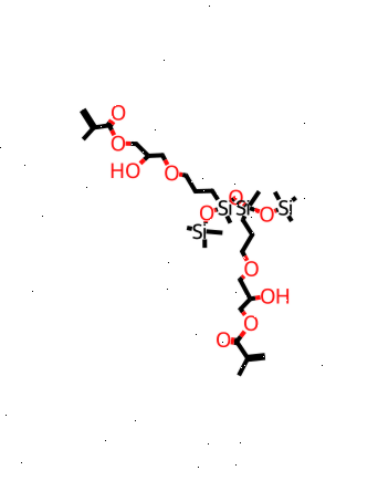 C=C(C)C(=O)OCC(O)COCCC[Si](C)(O[Si](C)(C)C)O[Si](C)(CCCOCC(O)COC(=O)C(=C)C)O[Si](C)(C)C